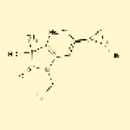 CC1(C)C(=O)N(CC(F)(F)F)c2cc([C@H]3C[C@@H]3C(C)(C)C)cnc21